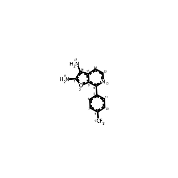 Nc1oc2c(-c3ccc(C(F)(F)F)cc3)nccc2c1N